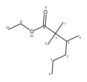 CCCC(C)C(C)(C)C(=O)OCC